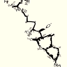 Cc1c(C(=O)[C@@H](N)CCCNC(=N)N)c(=O)oc2cc(N)ccc12